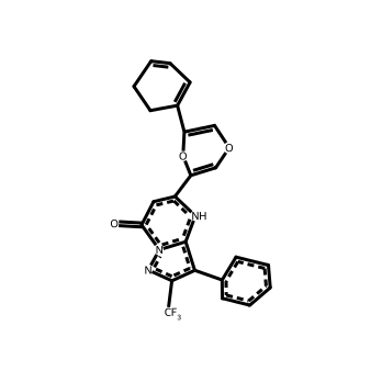 O=c1cc(C2=COC=C(C3=CC=CCC3)O2)[nH]c2c(-c3ccccc3)c(C(F)(F)F)nn12